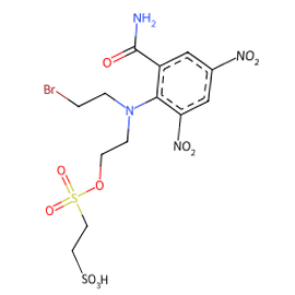 NC(=O)c1cc([N+](=O)[O-])cc([N+](=O)[O-])c1N(CCBr)CCOS(=O)(=O)CCS(=O)(=O)O